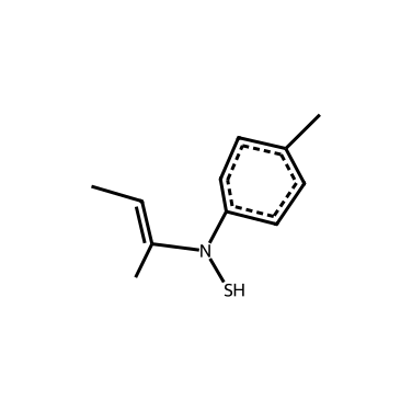 CC=C(C)N(S)c1ccc(C)cc1